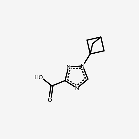 O=C(O)c1ncn(C23CC(C2)C3)n1